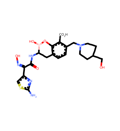 Nc1nc(C(=NO)C(=O)NC2Cc3ccc(CN4CCC(CO)CC4)c(C(=O)O)c3OB2O)cs1